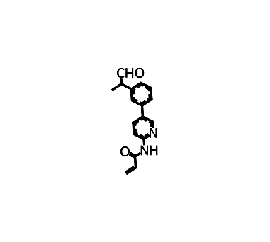 C=CC(=O)Nc1ccc(-c2cccc(C(C)C=O)c2)cn1